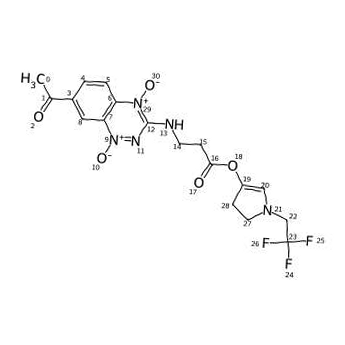 CC(=O)c1ccc2c(c1)[n+]([O-])nc(NCCC(=O)OC1=CN(CC(F)(F)F)CC1)[n+]2[O-]